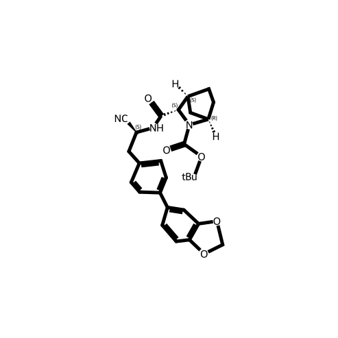 CC(C)(C)OC(=O)N1[C@@H]2CC[C@@H](C2)[C@H]1C(=O)N[C@H](C#N)Cc1ccc(-c2ccc3c(c2)OCO3)cc1